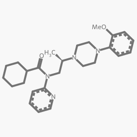 COc1ccccc1N1CCN([C@H](C)CN(C(=O)C2CCCCC2)c2ccccn2)CC1